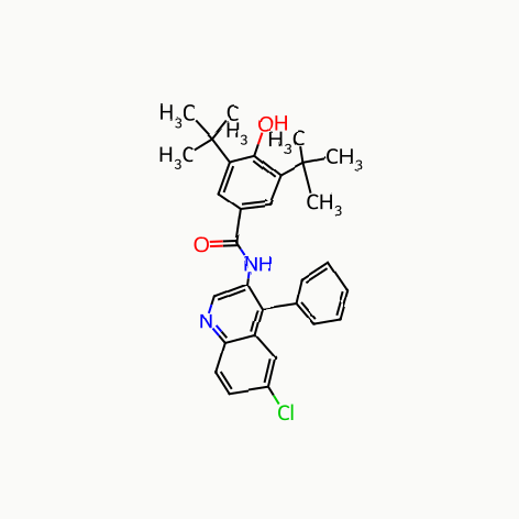 CC(C)(C)c1cc(C(=O)Nc2cnc3ccc(Cl)cc3c2-c2ccccc2)cc(C(C)(C)C)c1O